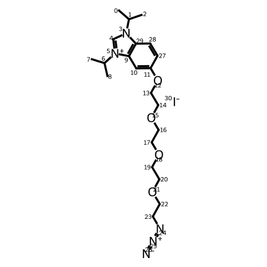 CC(C)n1c[n+](C(C)C)c2cc(OCCOCCOCCOCCN=[N+]=[N-])ccc21.[I-]